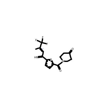 C/C(=C\C(=N)c1ccc(C(=O)N2CCC(=O)CC2)s1)C(F)(F)F